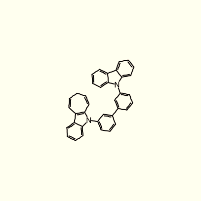 C1=Cc2c(n(-c3cccc(-c4cccc(-n5c6ccccc6c6ccccc65)c4)c3)c3ccccc23)C=CC1